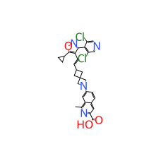 Cc1nc(C(=O)O)cc2ccc(N3CC4(CC(C=Cc5c(-c6c(Cl)cncc6Cl)noc5C5CC5)C4)C3)cc12